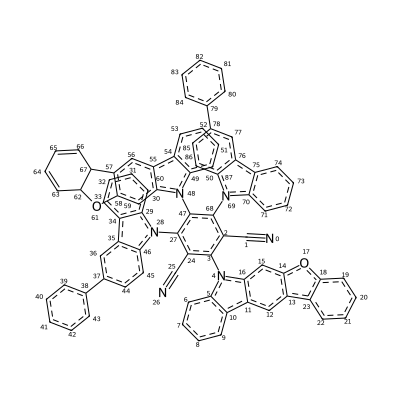 N#Cc1c(-n2c3ccccc3c3cc4c(cc32)oc2ccccc24)c(C#N)c(-n2c3ccccc3c3cc(-c4ccccc4)ccc32)c(-n2c3ccccc3c3cc4c(cc32)OC2C=CC=CC42)c1-n1c2ccccc2c2cc(-c3ccccc3)ccc21